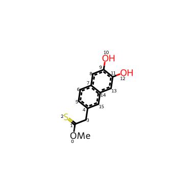 COC(=S)Cc1ccc2cc(O)c(O)cc2c1